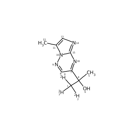 [2H]C([2H])([2H])C(C)(O)c1cnn2c(C)cnc2n1